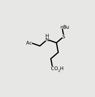 CCCCSC(CCC(=O)O)NCC(C)=O